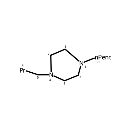 CCCCCN1CCN(CC(C)C)CC1